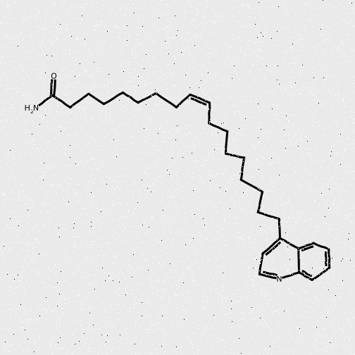 NC(=O)CCCCCCC/C=C\CCCCCCCCc1ccnc2ccccc12